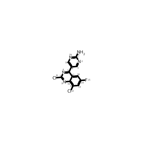 Nc1ncc(-c2nc(Cl)nc3c(Cl)cc(F)cc23)cn1